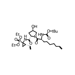 C=CCCCCC[C@H](NC(=O)OC(C)(C)C)C(=O)N1C[C@H](O)C[C@H]1C(=O)N[C@]1(P(=O)(OCC)OCC)C[C@H]1C=C